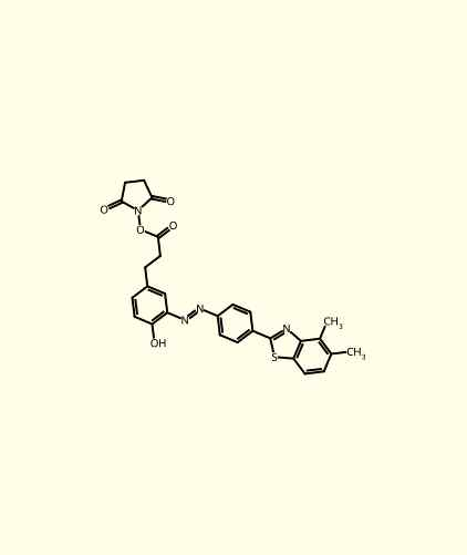 Cc1ccc2sc(-c3ccc(/N=N/c4cc(CCC(=O)ON5C(=O)CCC5=O)ccc4O)cc3)nc2c1C